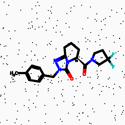 Cc1ccc(Cn2nc3n(c2=O)[C@@H](C(=O)N2CCC(F)(F)C2)CCC3)cc1